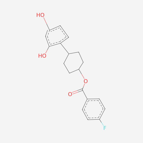 O=C(OC1CCC(c2ccc(O)cc2O)CC1)c1ccc(F)cc1